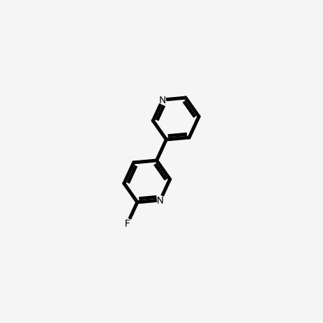 Fc1ccc(-c2cccnc2)cn1